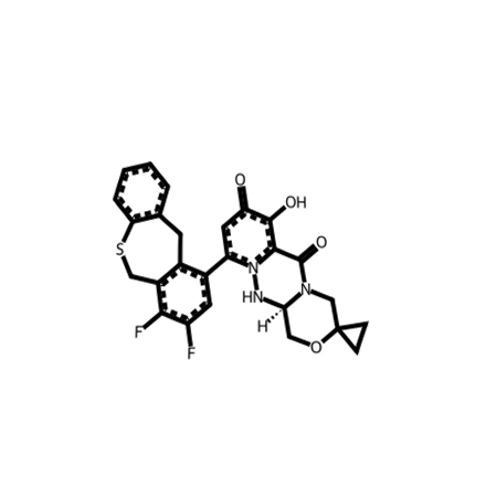 O=C1c2c(O)c(=O)cc(-c3cc(F)c(F)c4c3Cc3ccccc3SC4)n2N[C@@H]2COC3(CC3)CN12